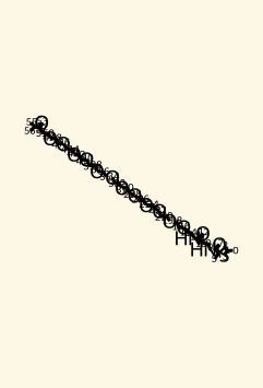 CC(C)SC(C)C(=O)NCCC(=O)NCCOCCOCCOCCOCCOCCOCCOCCOCCOCCOCCOCCOCCC(=O)C(C)C